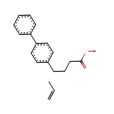 C=CC[C@H](c1ccc(-c2ccccc2)cc1)[C@H](CC(=O)OC(C)(C)C)C(=O)O